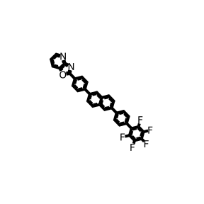 Fc1c(F)c(F)c(-c2ccc(-c3ccc4cc(-c5ccc(-c6nc7ncccc7o6)cc5)ccc4c3)cc2)c(F)c1F